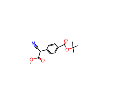 COC(=O)C(C#N)c1ccc(C(=O)OC(C)(C)C)cc1